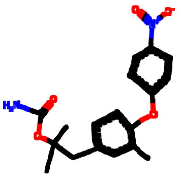 Cc1cc(CC(C)(C)OC(N)=O)ccc1Oc1ccc([N+](=O)[O-])cc1